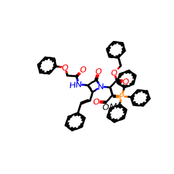 COC(=O)C(C(C(=O)OCc1ccccc1)N1C(=O)C(NC(=O)COc2ccccc2)C1C=Cc1ccccc1)=P(c1ccccc1)(c1ccccc1)c1ccccc1